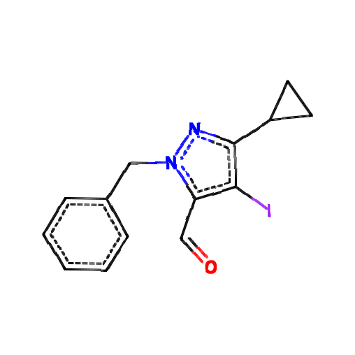 O=Cc1c(I)c(C2CC2)nn1Cc1ccccc1